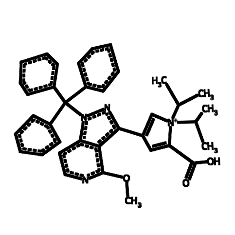 COc1nccc2c1c(C1=C[N+](C(C)C)(C(C)C)C(C(=O)O)=C1)nn2C(c1ccccc1)(c1ccccc1)c1ccccc1